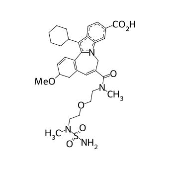 COC1C=CC2=C(C=C(C(=O)N(C)CCOCCN(C)S(N)(=O)=O)Cn3c2c(C2CCCCC2)c2ccc(C(=O)O)cc23)C1